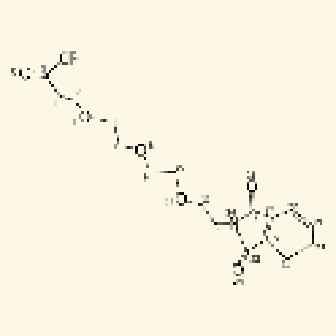 O=C(Cl)CCOCCOCCOCCN1C(=O)C2=C(CCC=C2)C1=O